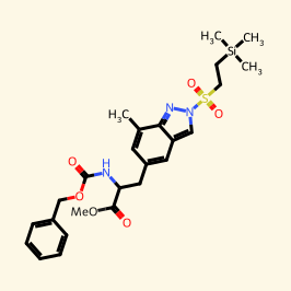 COC(=O)C(Cc1cc(C)c2nn(S(=O)(=O)CC[Si](C)(C)C)cc2c1)NC(=O)OCc1ccccc1